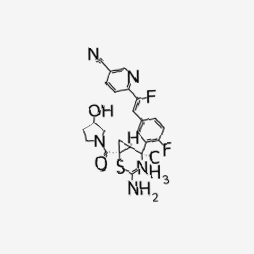 C[C@]1(c2cc(/C=C(\F)c3ccc(C#N)cn3)ccc2F)N=C(N)S[C@@]2(C(=O)N3CCC(O)C3)C[C@H]21